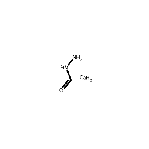 NNC=O.[CaH2]